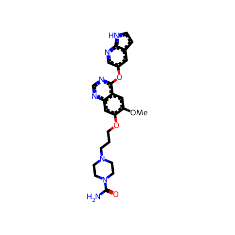 COc1cc2c(Oc3cnc4[nH]ccc4c3)ncnc2cc1OCCCN1CCN(C(N)=O)CC1